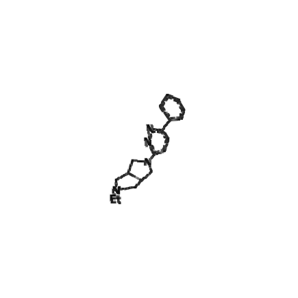 CCN1CC2CN(c3ccc(-c4ccccc4)nn3)CC2C1